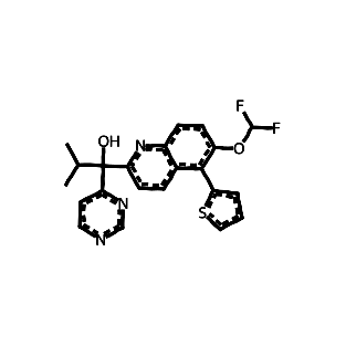 CC(C)C(O)(c1ccncn1)c1ccc2c(-c3cccs3)c(OC(F)F)ccc2n1